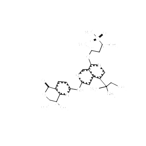 CCC(C)(N)c1cnc(O[C@H](C)C[C@@H](C)S(C)(=O)=O)c2cnc(Nc3ccc4c(n3)[C@@H](C)[C@H](C)OC4=O)cc12